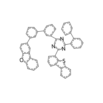 c1ccc(-c2ccccc2-c2nc(-c3cccc(-c4cccc(-c5ccc6oc7ccccc7c6c5)c4)c3)nc(-c3cccc4c3sc3ccccc34)n2)cc1